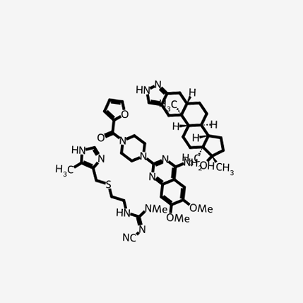 CN/C(=N/C#N)NCCSCc1nc[nH]c1C.COc1cc2nc(N3CCN(C(=O)c4ccco4)CC3)nc(N)c2cc1OC.C[C@]12Cc3c[nH]nc3C[C@@H]1CC[C@@H]1[C@@H]2CC[C@@]2(C)[C@H]1CC[C@]2(C)O